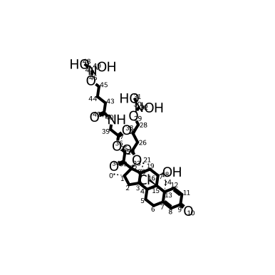 C[C@H]1CC2C3CCC4=CC(=O)C=C[C@]4(C)[C@@]3(Cl)[C@@H](O)C[C@]2(C)[C@@]1(OC(=O)CCCON(O)O)C(=O)COC(=O)CNC(=O)CCCON(O)O